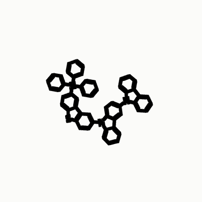 c1ccc([Si](c2ccccc2)(c2ccccc2)c2ccc3sc4ccc(-n5c6ccccc6c6cc(-n7c8ccccc8c8ccccc87)ccc65)cc4c3c2)cc1